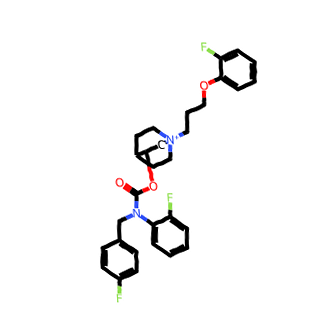 O=C(OC1C[N+]2(CCCOc3ccccc3F)CCC1CC2)N(Cc1ccc(F)cc1)c1ccccc1F